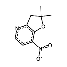 CC1(C)Cc2nccc([N+](=O)[O-])c2O1